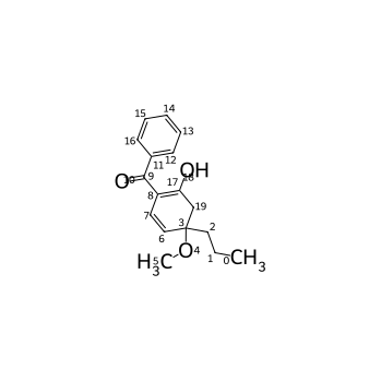 CCCC1(OC)C=CC(C(=O)c2ccccc2)=C(O)C1